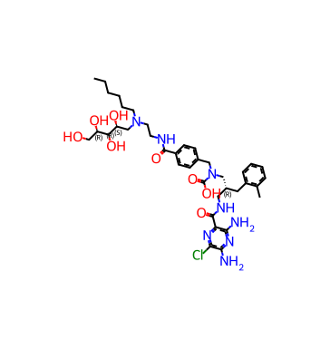 CCCCCCN(CCNC(=O)c1ccc(CN(C[C@@H](CNC(=O)c2nc(Cl)c(N)nc2N)Cc2ccccc2C)C(=O)O)cc1)C[C@H](O)[C@@H](O)[C@H](O)CO